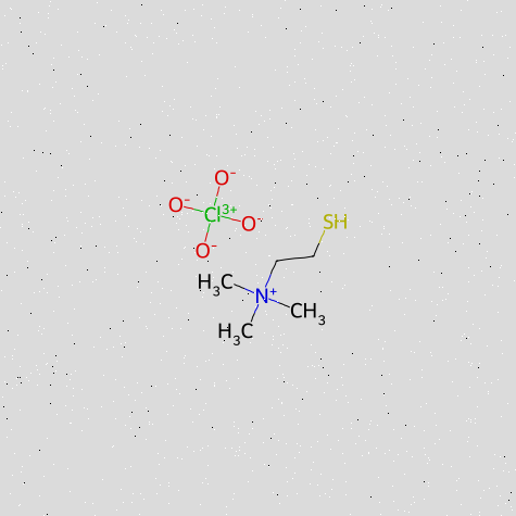 C[N+](C)(C)CCS.[O-][Cl+3]([O-])([O-])[O-]